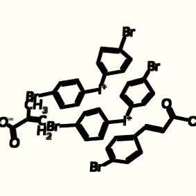 Brc1ccc([I+]c2ccc(Br)cc2)cc1.Brc1ccc([I+]c2ccc(Br)cc2)cc1.C=C(C)C(=O)[O-].O=C([O-])C=Cc1ccc(Br)cc1